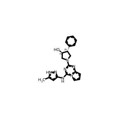 Cc1cc(Nc2nc(N3C[C@@H](O)[C@H](c4ccccc4)C3)nc3cccn23)n[nH]1